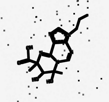 CCCn1cnc2c1N=CN1C2=NC(C)(C(=O)O)C(O)C1(C)O